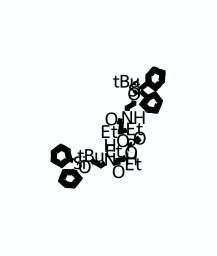 CCC(CC)(O[PH](=O)OC(CC)(CC)C(=O)NCCO[Si](c1ccccc1)(c1ccccc1)C(C)(C)C)C(=O)NCCO[Si](c1ccccc1)(c1ccccc1)C(C)(C)C